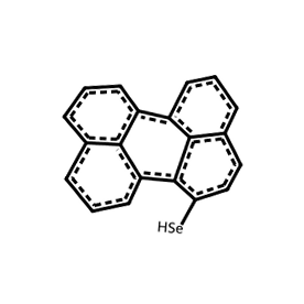 [SeH]c1ccc2cccc3c4cccc5cccc(c1c23)c54